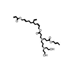 C=CC(=O)OC/C=C/CCC(C=C)C/C=C\COC(=O)CCN(CCCN(CCO)CCO)CCC(=O)OC/C=C/C